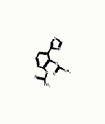 CC(=O)Oc1cccc(-c2cs[c]n2)c1OC(C)=O